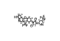 O=C1CN(c2cncc(C(F)(F)F)c2)C(=O)N1c1ccc(Oc2ncnc3[nH]ccc23)c(OC(F)F)c1